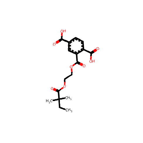 CCC(C)(C)C(=O)OCCOC(=O)c1cc(C(=O)O)ccc1C(=O)O